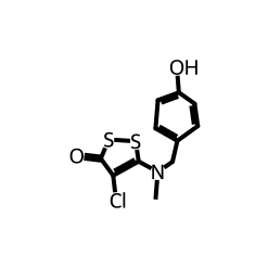 CN(Cc1ccc(O)cc1)c1ssc(=O)c1Cl